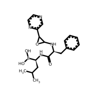 CC(C)C[C@H](NC(=O)[C@H](Cc1ccccc1)NC1OC1c1cnccn1)B(O)O